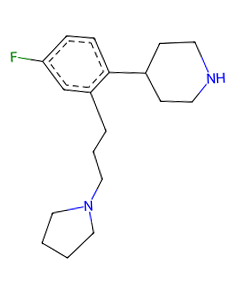 Fc1ccc(C2CCNCC2)c(CCCN2CCCC2)c1